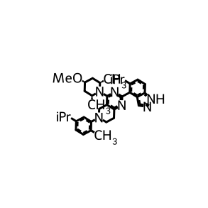 CO[C@H]1C[C@@H](C)N(c2nc(-c3c(C(C)C)ccc4[nH]ncc34)nc3c2CN(c2cc(C(C)C)ccc2C)CC3)[C@@H](C)C1